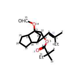 CC/C(C)=C\C1(OC(=O)C(C)(C)CC)CC2(OC=O)CC1C1CCCC12